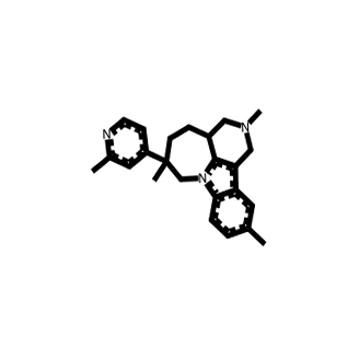 Cc1ccc2c(c1)c1c3n2CC(C)(c2ccnc(C)c2)CCC3CN(C)C1